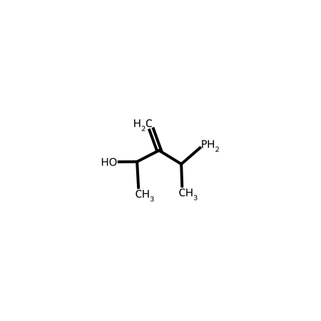 C=C(C(C)O)C(C)P